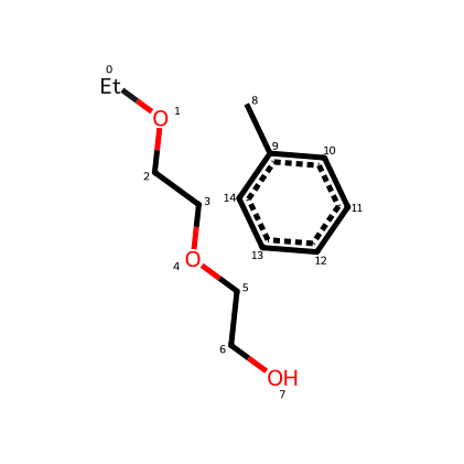 CCOCCOCCO.Cc1ccccc1